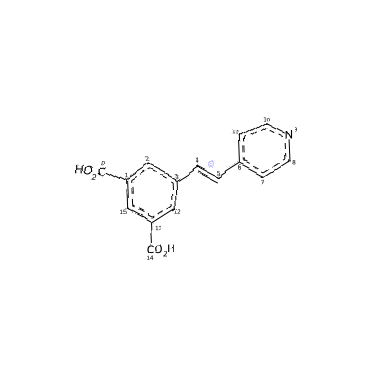 O=C(O)c1cc(/C=C/c2ccncc2)cc(C(=O)O)c1